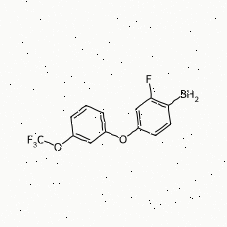 Bc1ccc(Oc2cccc(OC(F)(F)F)c2)cc1F